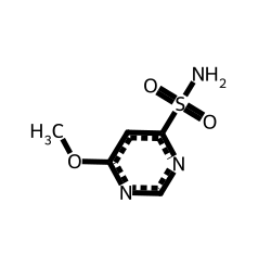 COc1cc(S(N)(=O)=O)ncn1